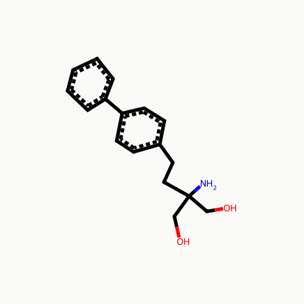 NC(CO)(CO)CCc1ccc(-c2ccccc2)cc1